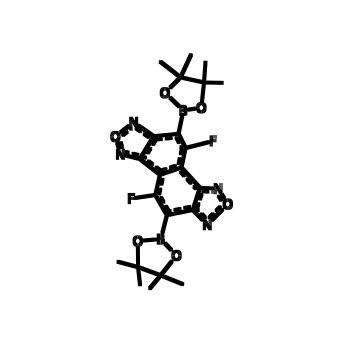 CC1(C)OB(c2c(F)c3c4nonc4c(B4OC(C)(C)C(C)(C)O4)c(F)c3c3nonc23)OC1(C)C